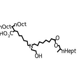 CCCCCCCCC(CCCCCCCC)C(CCCCCCN(CCO)CCCCCCCC(=O)OCC(C)CCCCCCC)C(=O)O